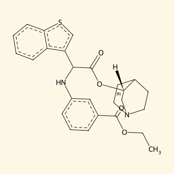 CCOC(=O)c1cccc(NC(C(=O)O[C@H]2CN3CCC2CC3)c2csc3ccccc23)c1